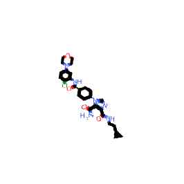 NC(=O)c1c(C(=O)NCCC2CC2)ncn1[C@H]1CC[C@H](C(=O)Nc2cc(N3CCOCC3)ccc2Cl)CC1